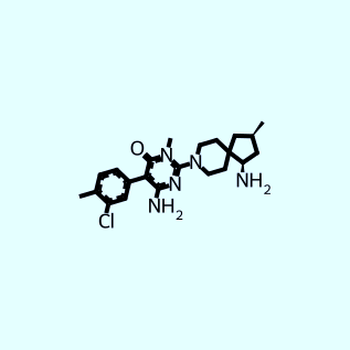 Cc1ccc(-c2c(N)nc(N3CCC4(CC3)C[C@@H](C)C[C@H]4N)n(C)c2=O)cc1Cl